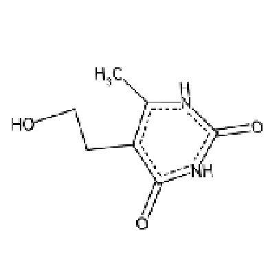 Cc1[nH]c(=O)[nH]c(=O)c1CCO